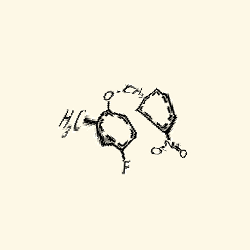 COc1ccc(F)cc1C.O=[N+]([O-])c1ccccc1